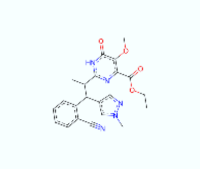 CCOC(=O)c1nc(C(C)C(c2cnn(C)c2)c2ccccc2C#N)[nH]c(=O)c1OC